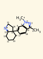 Cc1nn(C)c2cc(C34CCCCC3=NCC4)ccc12